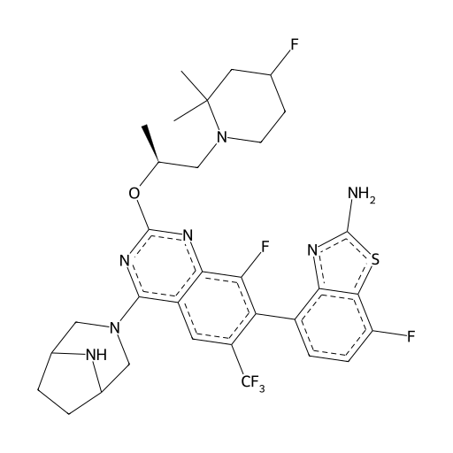 C[C@@H](CN1CCC(F)CC1(C)C)Oc1nc(N2CC3CCC(C2)N3)c2cc(C(F)(F)F)c(-c3ccc(F)c4sc(N)nc34)c(F)c2n1